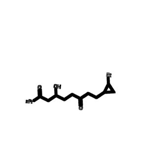 CCCC(=O)CC(O)CCC(=O)CCC1CC1CC